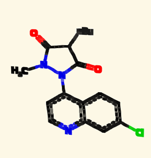 CCCCC1C(=O)N(C)N(c2ccnc3cc(Cl)ccc23)C1=O